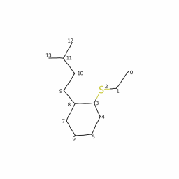 CCSC1CCCCC1CCC(C)C